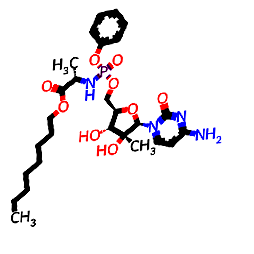 CCCCCCCCOC(=O)[C@H](C)NP(=O)(OC[C@H]1O[C@@H](n2ccc(N)nc2=O)[C@](C)(O)[C@@H]1O)Oc1ccccc1